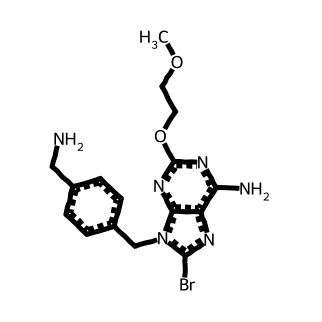 COCCOc1nc(N)c2nc(Br)n(Cc3ccc(CN)cc3)c2n1